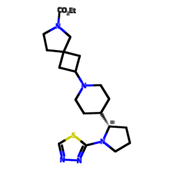 CCOC(=O)N1CCC2(CC(N3CCC([C@@H]4CCCN4c4nncs4)CC3)C2)C1